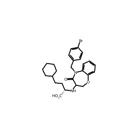 O=C(O)[C@H](CCC1CCCCC1)NC1COc2ccccc2N(Cc2ccc(Br)cc2)C1=O